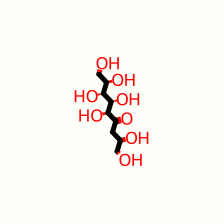 O=C(CC(O)CO)[C@@H](O)[C@@H](O)[C@H](O)[C@H](O)CO